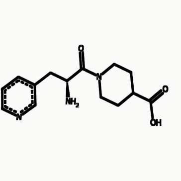 N[C@@H](Cc1cccnc1)C(=O)N1CCC(C(=O)O)CC1